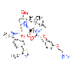 Cc1ncsc1-c1ccc([C@H](C)NC(=O)[C@@H]2C[C@@H](O)CN2C(=O)[C@@H](NC(=O)c2cc3ccc(OCCN)cc3o2)C(C)(C)C)cc1